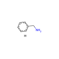 NCc1ccccc1.[H]